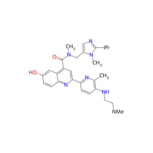 CNCCNc1ccc(-c2cc(C(=O)N(C)Cc3cnc(C(C)C)n3C)c3cc(O)ccc3n2)nc1C